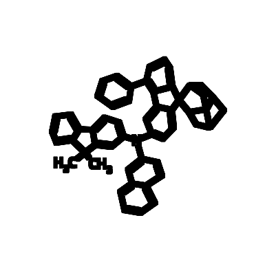 CC1(C)c2ccccc2-c2ccc(N(c3ccc4c(c3)-c3c(-c5ccccc5)cccc3C43C4CC5CC(C4)CC3C5)c3ccc4ccccc4c3)cc21